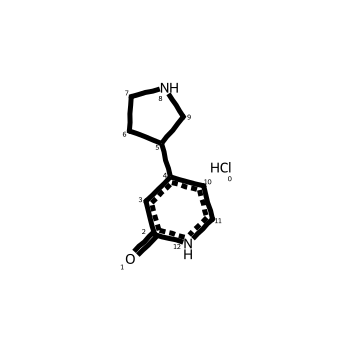 Cl.O=c1cc(C2CCNC2)cc[nH]1